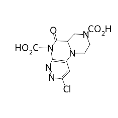 O=C(O)N1CCN2c3cc(Cl)nnc3N(C(=O)O)C(=O)C2C1